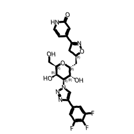 O=c1cc(C2=NO[C@@H](C[C@H]3O[C@H](CO)[C@H](O)[C@H](n4cc(-c5cc(F)c(F)c(F)c5)nn4)[C@H]3O)C2)cc[nH]1